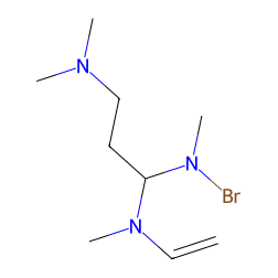 C=CN(C)C(CCN(C)C)N(C)Br